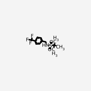 CC(C)(C)S(=O)(=O)NCc1ccc(C(F)(F)F)cc1